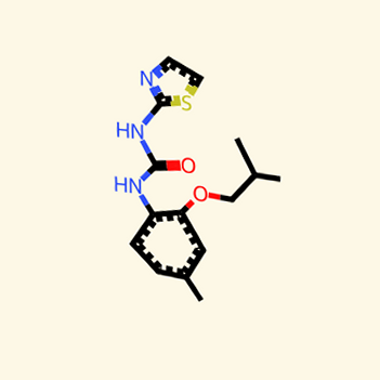 Cc1ccc(NC(=O)Nc2nccs2)c(OCC(C)C)c1